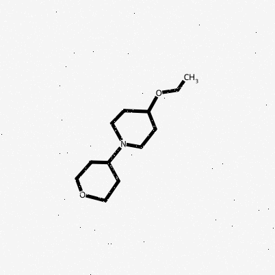 CCOC1CCN(C2CCOCC2)CC1